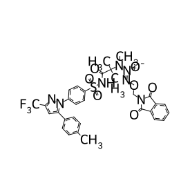 Cc1ccc(-c2cc(C(F)(F)F)nn2-c2ccc(S(=O)(=O)NC(=O)C(C)(C)N(C)[N+]([O-])=NOCN3C(=O)c4ccccc4C3=O)cc2)cc1